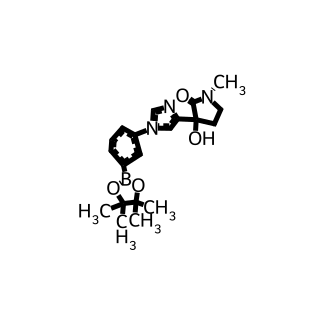 CN1CCC(O)(c2cn(-c3cccc(B4OC(C)(C)C(C)(C)O4)c3)cn2)C1=O